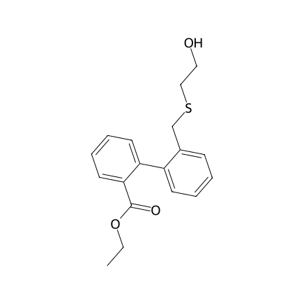 CCOC(=O)c1ccccc1-c1ccccc1CSCCO